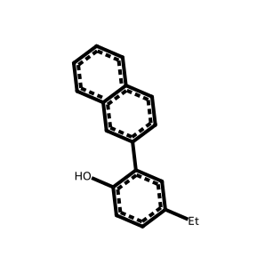 CCc1ccc(O)c(-c2ccc3ccccc3c2)c1